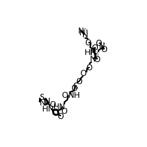 COc1ccc(NC(=O)c2cn3ccsc3n2)cc1C(=O)NCCCC(=O)NCCOCCOCCOCCOCCNC(=O)[C@@H](CCC(=O)N(C)OC)NC(=O)CCOCCN=[N+]=[N-]